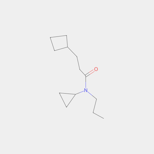 CCCN(C(=O)CCC1CCC1)C1CC1